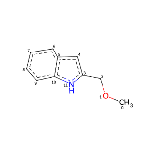 COCc1cc2ccccc2[nH]1